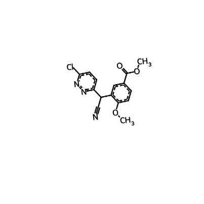 COC(=O)c1ccc(OC)c(C(C#N)c2ccc(Cl)nn2)c1